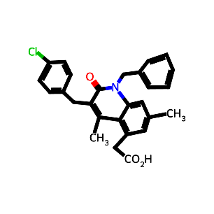 Cc1cc(CC(=O)O)c2c(C)c(Cc3ccc(Cl)cc3)c(=O)n(Cc3ccccc3)c2c1